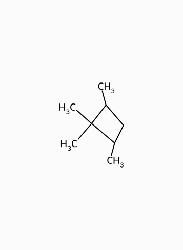 CC1CC(C)C1(C)C